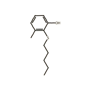 CCCCCSc1c(C)cccc1O